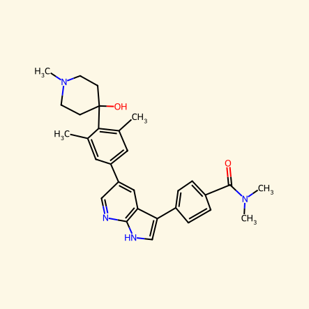 Cc1cc(-c2cnc3[nH]cc(-c4ccc(C(=O)N(C)C)cc4)c3c2)cc(C)c1C1(O)CCN(C)CC1